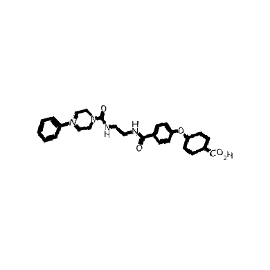 O=C(NCCNC(=O)N1CCN(c2ccccc2)CC1)c1ccc(OC2CCC(C(=O)O)CC2)cc1